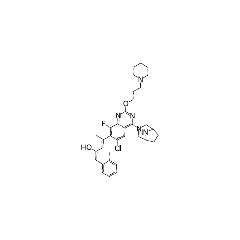 C/C(=C\C(O)=C/c1ccccc1C)c1c(Cl)cc2c(N3CC4CCC(C3)N4)nc(OCCCN3CCCCC3)nc2c1F